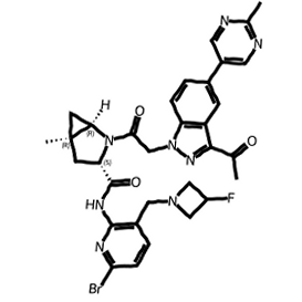 CC(=O)c1nn(CC(=O)N2[C@H](C(=O)Nc3nc(Br)ccc3CN3CC(F)C3)C[C@@]3(C)C[C@@H]23)c2ccc(-c3cnc(C)nc3)cc12